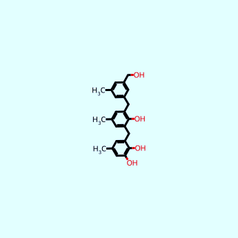 Cc1cc(CO)cc(Cc2cc(C)cc(Cc3cc(C)cc(O)c3O)c2O)c1